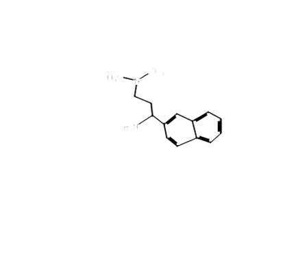 CN(C)CCC(N)c1ccc2ccccc2c1